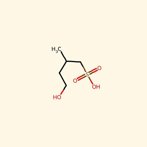 CC(CCO)CS(=O)(=O)O